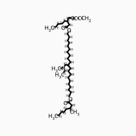 C=C=C=C=CC(CCCCC)CC(=O)OCCCCCCCCCCC(CCCCCCCCCCOC(=O)CC(C)CCCCC)CN(C)CC